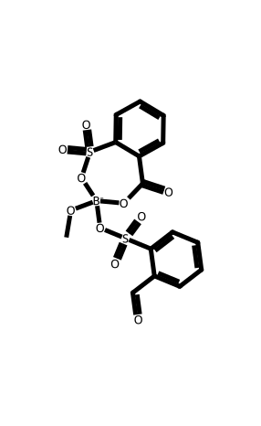 CO[B-]1(OS(=O)(=O)c2ccccc2C=O)OC(=O)c2ccccc2S(=O)(=O)O1